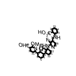 COc1nc(-c2cccc(-c3cccc(Nc4nccc(CNc5ccccc5C(=O)O)c4F)c3Cl)c2Cl)ccc1C=O